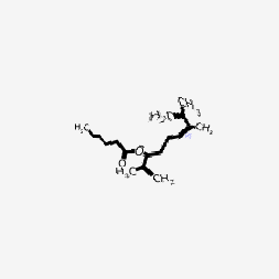 C=C(C)/C(C)=C\CCC(OC(=O)CCCCC)C(=C)C